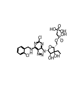 CC[C@@]1(O)[C@@H](COP(=O)(O)CP(=O)(O)O)O[C@@H](n2nnc3c(NCc4ccccc4Cl)nc(Cl)nc32)[C@@H]1O